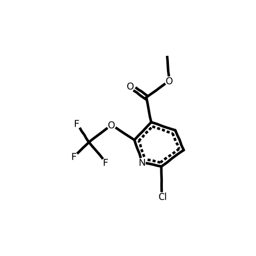 COC(=O)c1ccc(Cl)nc1OC(F)(F)F